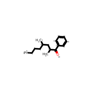 CC(C)CCCC(C)CC(C)C(=O)c1ccccc1